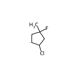 CC1(F)C[CH]C(Cl)C1